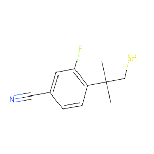 CC(C)(CS)c1ccc(C#N)cc1F